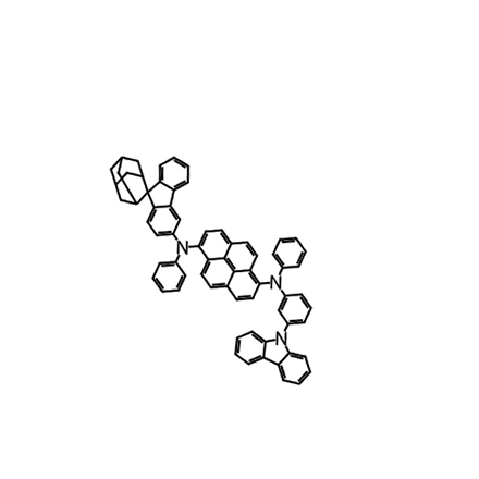 c1ccc(N(c2cccc(-n3c4ccccc4c4ccccc43)c2)c2ccc3ccc4c(N(c5ccccc5)c5ccc6c(c5)-c5ccccc5C65C6CC7CC(C6)CC5C7)ccc5ccc2c3c54)cc1